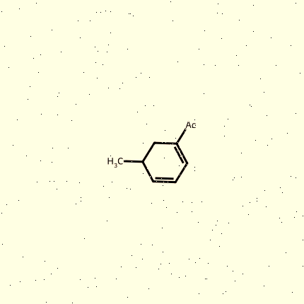 CC(=O)C1=CC=CC(C)C1